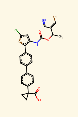 CC(OC(=O)Nc1cc(Cl)sc1-c1ccc(-c2ccc(C3(C(=O)O)CC3)cc2)cc1)/C(C=N)=C/S